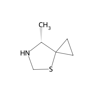 C[C@H]1NCSC12CC2